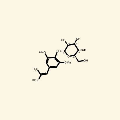 COc1cc(C=C(C)C(=O)O)cc(OC)c1O[C@H]1O[C@H](CO)[C@@H](O)[C@H](O)[C@@H]1O